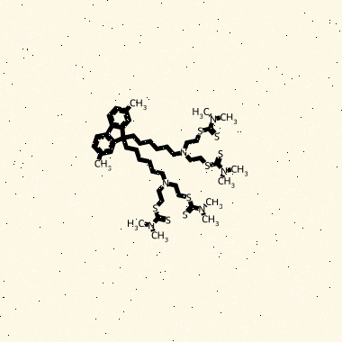 Cc1ccc2c(c1)C(CCCCCCN(CCSC(=S)N(C)C)CCSC(=S)N(C)C)(CCCCCCN(CCSC(=S)N(C)C)CCSC(=S)N(C)C)c1cc(C)ccc1-2